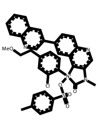 COCCc1ccc([N+]2(OS(=O)(=O)c3ccc(C)cc3)C(=O)N(C)c3cnc4ccc(-c5cnc6ccccc6c5)cc4c32)c(Cl)c1